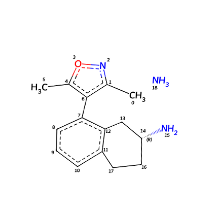 Cc1noc(C)c1-c1cccc2c1C[C@H](N)CC2.N